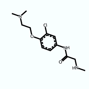 CNCC(=O)Nc1ccc(OCCN(C)C)c(Cl)c1